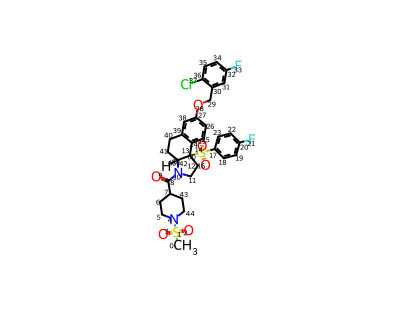 CS(=O)(=O)N1CCC(C(=O)N2CC[C@@]3(S(=O)(=O)c4ccc(F)cc4)c4ccc(OCc5cc(F)ccc5Cl)cc4CC[C@@H]23)CC1